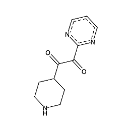 O=C(C(=O)C1CCNCC1)c1ncccn1